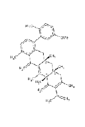 C=C(C)C1=C(C)C[C@@]2(C)C[C@@]3(C)Cc4c(-c5cc(OC)ccc5OC)ccc(C)c4C(=C)C3=C(C)[C@@]2(C)C1=C